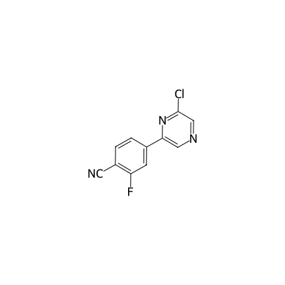 N#Cc1ccc(-c2cncc(Cl)n2)cc1F